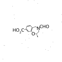 C[C@@H]1CN(C=O)Cc2ccc(C(=O)O)cc2O1